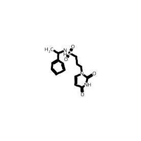 CC(NS(=O)(=O)CCCn1ccc(=O)[nH]c1=O)c1ccccc1